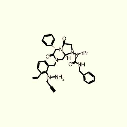 C#CCN(N)c1c(C=C)cccc1CN1C[C@H]2N(C(=O)CN2N(CCC)C(=O)NCc2ccccc2)[C@@H](c2ccccc2)C1=O